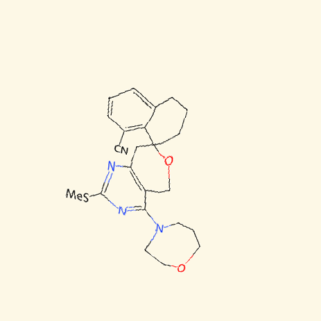 CSc1nc2c(c(N3CCCOCC3)n1)COC1(CCCc3cccc(C#N)c31)C2